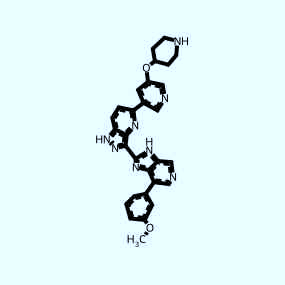 COc1cccc(-c2cncc3[nH]c(-c4n[nH]c5ccc(-c6cncc(OC7CCNCC7)c6)nc45)nc23)c1